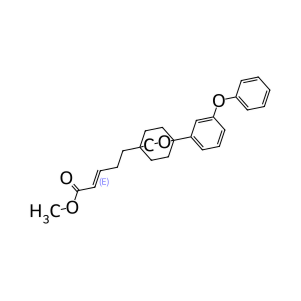 COC(=O)/C=C/CCC12CCC(c3cccc(Oc4ccccc4)c3)(CC1)OC2